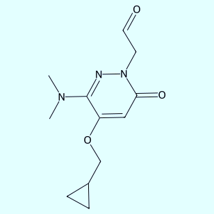 CN(C)c1nn(CC=O)c(=O)cc1OCC1CC1